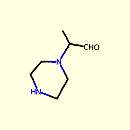 CC(C=O)N1CCNCC1